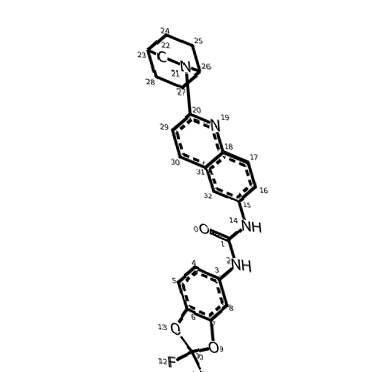 O=C(Nc1ccc2c(c1)OC(F)(F)O2)Nc1ccc2nc(N3CC4CCC3CC4)ccc2c1